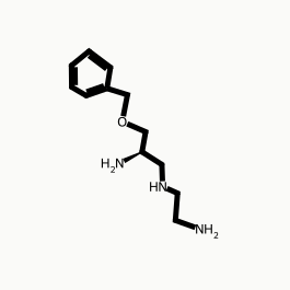 NCCNC[C@@H](N)COCc1ccccc1